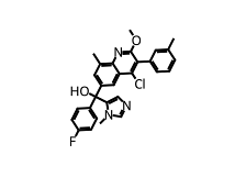 COc1nc2c(C)cc(C(O)(c3ccc(F)cc3)c3cncn3C)cc2c(Cl)c1-c1cccc(C)c1